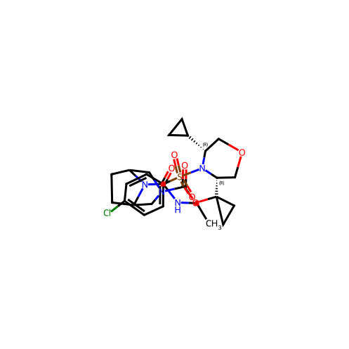 CCNC(=O)N1C2CCC1CN(C(=O)OC1([C@H]3COC[C@@H](C4CC4)N3S(=O)(=O)c3ccc(Cl)cc3)CC1)C2